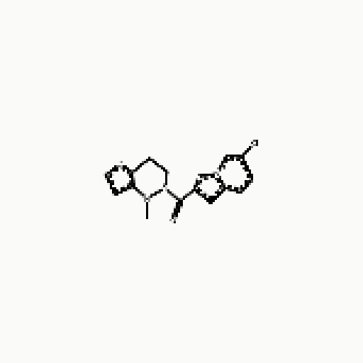 CN1c2ccoc2CCN1C(=O)c1cc2ccc(Cl)cn2n1